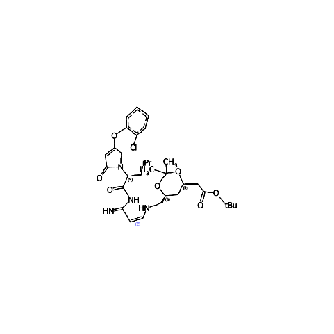 CC(C)C[C@@H](C(=O)NC(=N)/C=C\NC[C@@H]1C[C@H](CC(=O)OC(C)(C)C)OC(C)(C)O1)N1CC(Oc2ccccc2Cl)=CC1=O